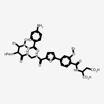 CCCCCC(C(=O)NCNC(=O)c1ccc(-c2ccc(C(=O)NC(CC(=O)O)C(=O)O)c(OCC)c2)o1)C(CC)N(C=O)OC(=O)c1ccc(N)cc1